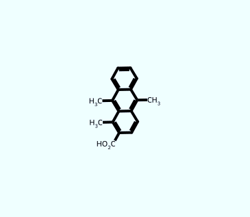 Cc1c2ccccc2c(C)c2c(C)c(C(=O)O)ccc12